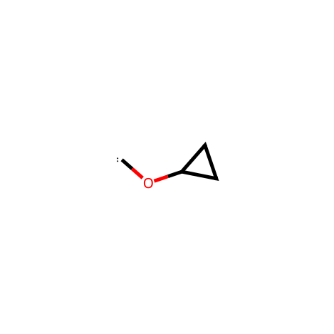 [CH]OC1CC1